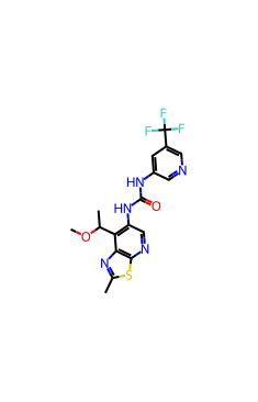 COC(C)c1c(NC(=O)Nc2cncc(C(F)(F)F)c2)cnc2sc(C)nc12